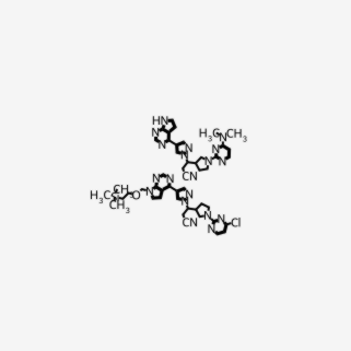 CN(C)c1ccnc(N2CCC(C(CC#N)n3cc(-c4ncnc5[nH]ccc45)cn3)C2)n1.C[Si](C)(C)CCOCn1ccc2c(-c3cnn(C(CC#N)C4CCN(c5nccc(Cl)n5)C4)c3)ncnc21